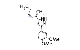 C=C/C=C\C(=C)c1cc(-c2ccc(OC)c(OC)c2)n[nH]1